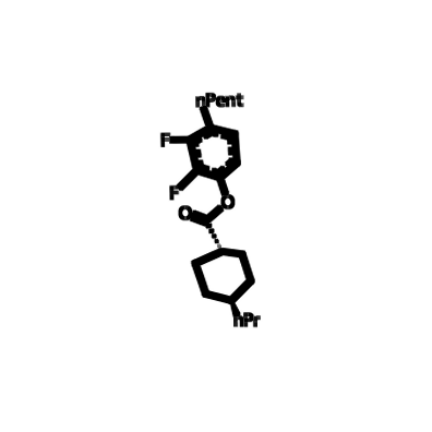 CCCCCc1ccc(OC(=O)[C@H]2CC[C@H](CCC)CC2)c(F)c1F